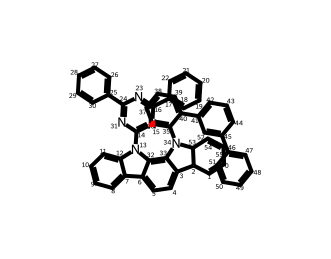 C1=CC2c3ccc4c5ccccc5n(-c5nc(-c6ccccc6)nc(-c6ccccc6)n5)c4c3N(c3ccccc3-c3cccc(-c4ccccc4)c3)C2C=C1